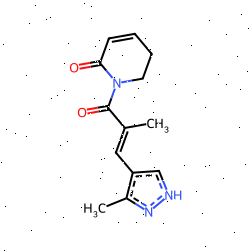 C/C(=C\c1c[nH]nc1C)C(=O)N1CCC=CC1=O